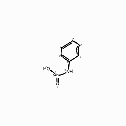 O=[PH](O)Nc1ccccc1